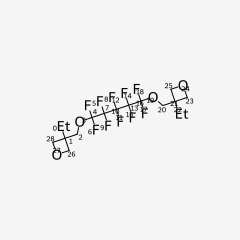 CCC1(COC(F)(F)C(F)(F)C(F)(F)C(F)(F)C(F)(F)OCC2(CC)COC2)COC1